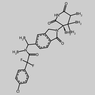 BC(c1ccc2c(c1)CN([C@]1(B)C(=O)NC(=O)C(B)C1(B)B)C2=O)N(B)C(=O)C(F)(F)c1ccc(Cl)cc1